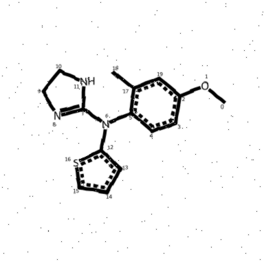 COc1ccc(N(C2=NCCN2)c2cccs2)c(C)c1